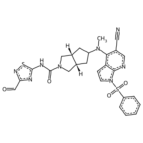 CN(c1c(C#N)cnc2c1ccn2S(=O)(=O)c1ccccc1)C1C[C@@H]2CN(C(=O)Nc3nc(C=O)ns3)C[C@@H]2C1